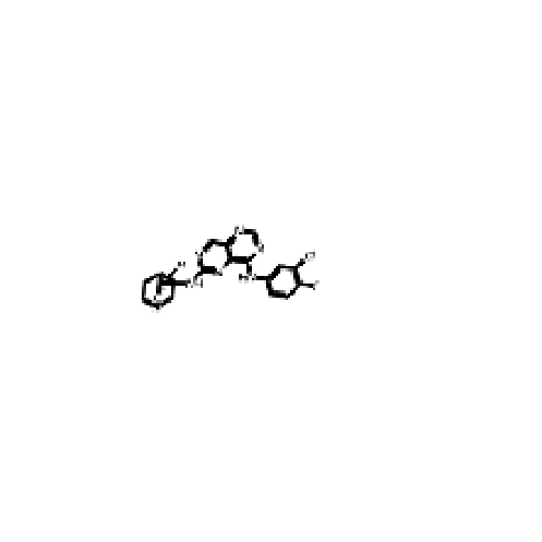 Fc1ccc(Nc2ncnc3cnc(N[C@@H]4CN5CCC4CC5)nc23)cc1Cl